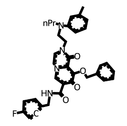 CCCN(CCn1ccn2cc(C(=O)NCc3ccc(F)cc3)c(=O)c(OCc3ccccc3)c2c1=O)c1cccc(C)c1